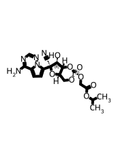 CC(C)OC(=O)CO[P@]1(=O)OC[C@H]2O[C@@](C#N)(c3ccc4c(N)ncnn34)[C@H](O)[C@@H]2O1